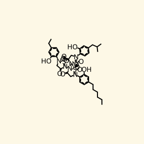 CCCCCCc1ccc(N2CC(=O)[N+](N3C(=O)CN(c4ccc(CC)cc4O)S3(=O)=O)(N3C(=O)CN(c4ccc(CC(C)C)cc4O)S3(=O)=O)S2(=O)=O)c(O)c1